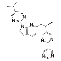 CC(C)c1cnc(-n2ccc3ccc(C[C@@H](C)c4cnc(-c5cncnc5)nc4)nc32)nc1